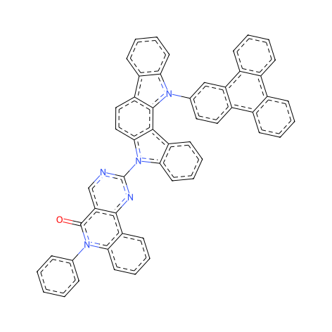 O=c1c2cnc(-n3c4ccccc4c4c3ccc3c5ccccc5n(-c5ccc6c7ccccc7c7ccccc7c6c5)c34)nc2c2ccccc2n1-c1ccccc1